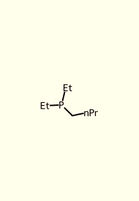 CCCCP(CC)CC